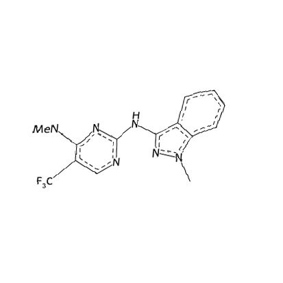 CNc1nc(Nc2nn(C)c3ccccc23)ncc1C(F)(F)F